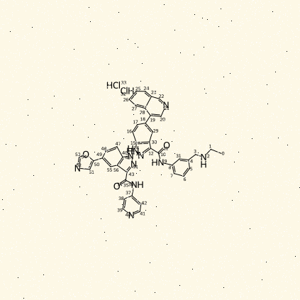 CCNCc1cccc(NC(=O)c2n[nH]c3ccc(-c4cncc5ccccc45)cc23)c1.Cl.Cl.O=C(Nc1ccncc1)c1n[nH]c2ccc(-c3cnco3)cc12